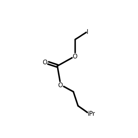 CC(C)CCOC(=O)OCI